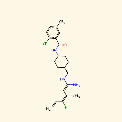 C=C/C(F)=C(C)\C=C(/N)NC[C@H]1CC[C@H](NC(=O)c2cc(C(F)(F)F)ccc2Cl)CC1